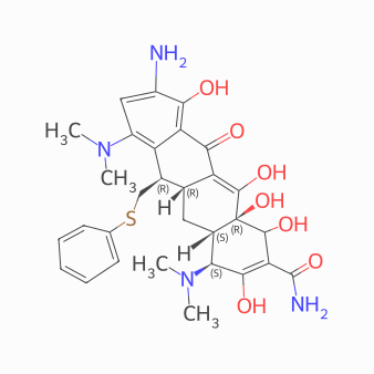 CN(C)c1cc(N)c(O)c2c1[C@H](CSc1ccccc1)[C@H]1C[C@H]3[C@H](N(C)C)C(O)=C(C(N)=O)C(O)[C@@]3(O)C(O)=C1C2=O